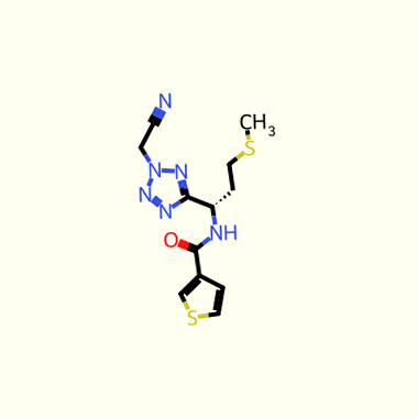 CSCC[C@H](NC(=O)c1ccsc1)c1nnn(CC#N)n1